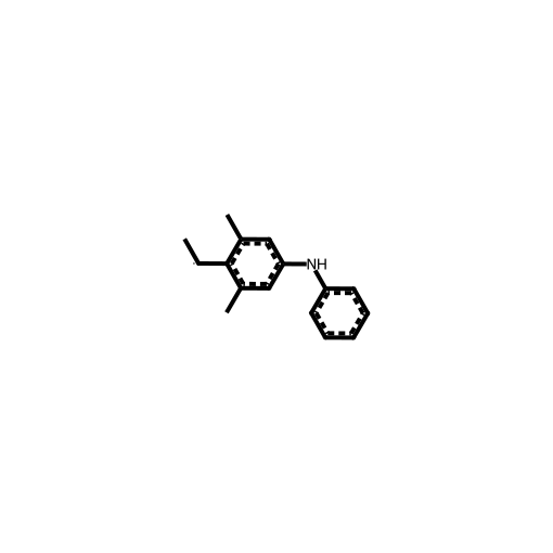 C[CH]c1c(C)cc(Nc2ccccc2)cc1C